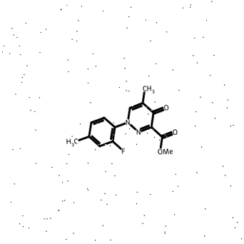 COC(=O)c1nn(-c2ccc(C)cc2F)cc(C)c1=O